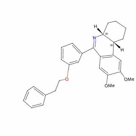 COc1cc2c(cc1OC)[C@H]1CCCC[C@H]1N=C2c1cccc(OCCc2ccccc2)c1